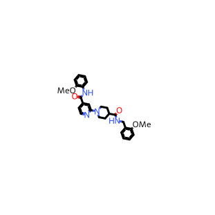 COc1ccccc1CNC(=O)C1CCN(c2cc(C(=O)Nc3ccccc3OC)ccn2)CC1